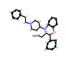 CNCCC(Oc1ccccc1NC1CCN(CCc2ccccc2)CC1)c1ccccc1